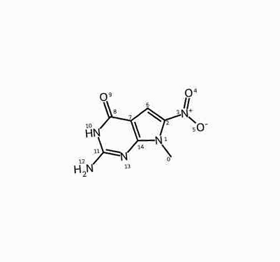 Cn1c([N+](=O)[O-])cc2c(=O)[nH]c(N)nc21